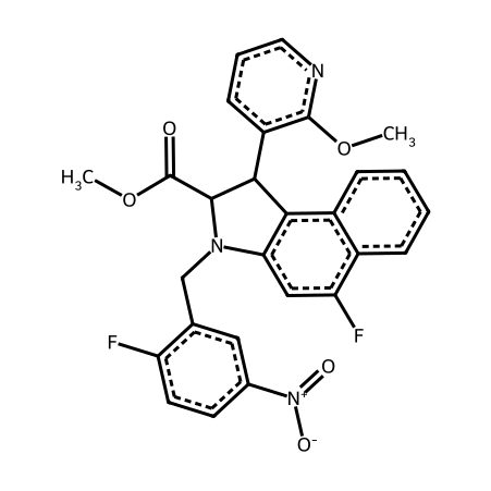 COC(=O)C1C(c2cccnc2OC)c2c(cc(F)c3ccccc23)N1Cc1cc([N+](=O)[O-])ccc1F